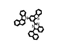 c1ccc2c(-c3nc(-c4cc(-n5c6ccccc6c6c7ccccc7ccc65)cc5c4sc4ccccc45)nc4ccccc34)cccc2c1